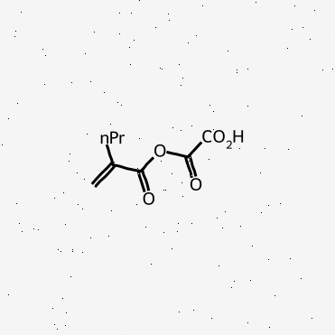 C=C(CCC)C(=O)OC(=O)C(=O)O